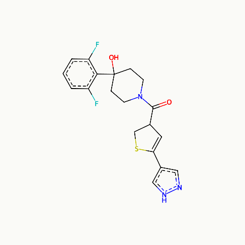 O=C(C1C=C(c2cn[nH]c2)SC1)N1CCC(O)(c2c(F)cccc2F)CC1